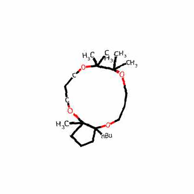 CCCCC12CCCC1(C)OCCCOC(C)(C)C(C)(C)OCCCO2